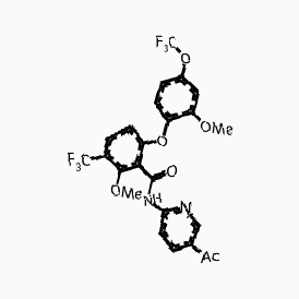 COc1cc(OC(F)(F)F)ccc1Oc1ccc(C(F)(F)F)c(OC)c1C(=O)Nc1ccc(C(C)=O)cn1